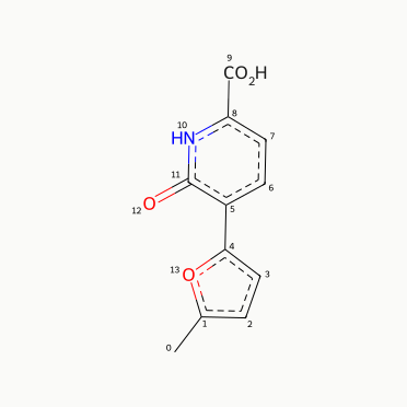 Cc1ccc(-c2ccc(C(=O)O)[nH]c2=O)o1